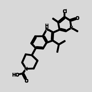 Cc1c(-c2[nH]c3ccc(C4CCN(C(=O)O)CC4)cc3c2C(C)C)cn(C)c(=O)c1Cl